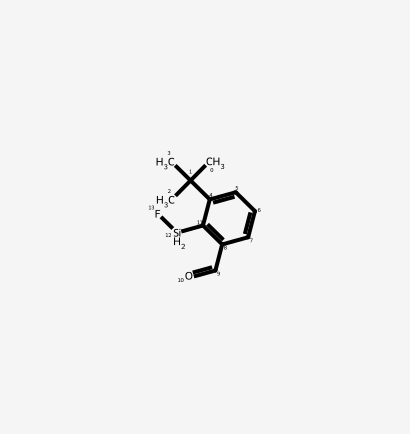 CC(C)(C)c1cccc(C=O)c1[SiH2]F